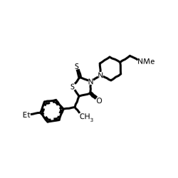 CCc1ccc(C(C)C2SC(=S)N(N3CCC(CNC)CC3)C2=O)cc1